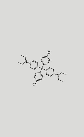 CCN(CC)c1ccc(C(c2ccc(Cl)cc2)(c2ccc(Cl)cc2)c2ccc(N(CC)CC)cc2)cc1